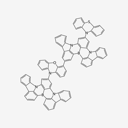 c1ccc2c(c1)Oc1c(-c3cc4c5c(c3)c3ccccc3n5-c3cc(N5c6ccccc6Sc6ccccc65)cc5c3B4c3cccc4c6ccccc6n-5c34)cccc1N2c1cc2c3c(c1)-n1c4ccccc4c4cccc(c41)B3c1cccc3c4ccccc4n-2c13